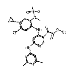 CCONC(=O)c1cnc(Nc2cc(C)nc(C)n2)cc1Nc1cc(Cl)c(C2CC2)cc1N(C)S(C)(=O)=O